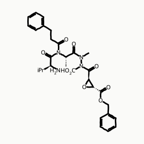 CC(C)[C@H](N)C(=O)N(C(=O)CCc1ccccc1)[C@@H](C)C(=O)N(C)N(C(=O)O)C(=O)[C@@H]1O[C@H]1C(=O)OCc1ccccc1